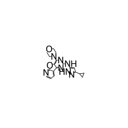 c1cnc2oc3c(N4CCOCC4)nc(Nc4cc(C5CC5)n[nH]4)nc3c2c1